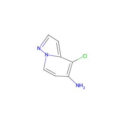 Nc1ccn2nccc2c1Cl